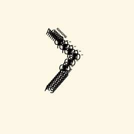 [Ag+].[Ag+].[Ag+].[Ag+].[Ag+].[Ag+].[Ag+].[Ag+].[Ag+].[Ag+].[Ag+].[Ag+].[Ag+].[Ag+].[Ag+].[Ag+].[Ag+].[Ag+].[O-][Si]([O-])([O-])F.[O-][Si]([O-])([O-])F.[O-][Si]([O-])([O-])F.[O-][Si]([O-])([O-])F.[O-][Si]([O-])([O-])F.[O-][Si]([O-])([O-])F